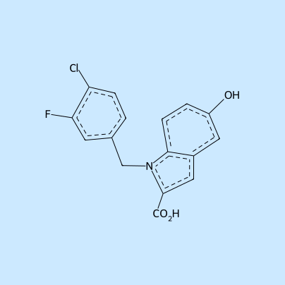 O=C(O)c1cc2cc(O)ccc2n1Cc1ccc(Cl)c(F)c1